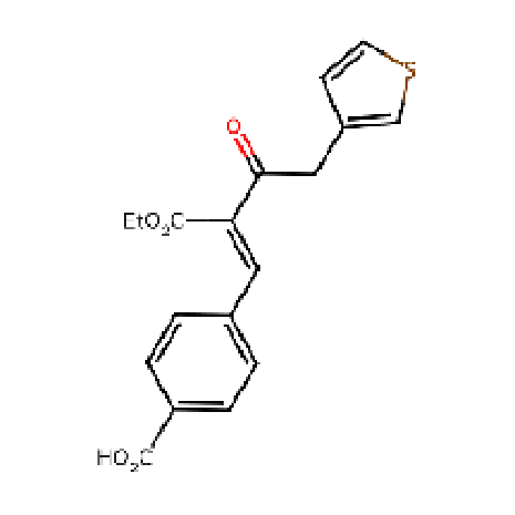 CCOC(=O)/C(=C\c1ccc(C(=O)O)cc1)C(=O)Cc1ccsc1